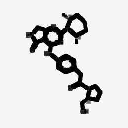 C[C@@H]1CCC[C@H](C)N1c1nc2c(c(Nc3ccc(CC(=O)N4CCC[C@H]4CO)cc3)n1)C(=O)NC2